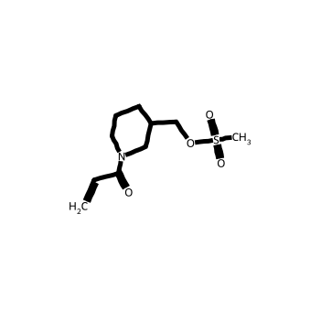 C=CC(=O)N1CCCC(COS(C)(=O)=O)C1